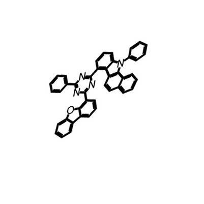 c1ccc(-c2nc(-c3cccc4c3oc3ccccc34)nc(-c3cccc4c3c3ccc5ccccc5c3n4-c3ccccc3)n2)cc1